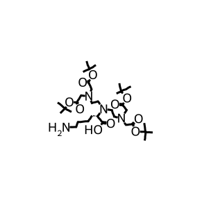 CC(C)(C)OC(=O)CN(CCN(CCN(CC(=O)OC(C)(C)C)CC(=O)OC(C)(C)C)[C@@H](CCCCN)C(=O)O)CC(=O)OC(C)(C)C